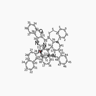 c1ccc2c(c1)CCC(c1nc(-n3c4ccccc4c4c5ccccc5ccc43)nc3c1oc1ccccc13)c1c-2cc2c3ccccc3n3c4ccccc4c1c23